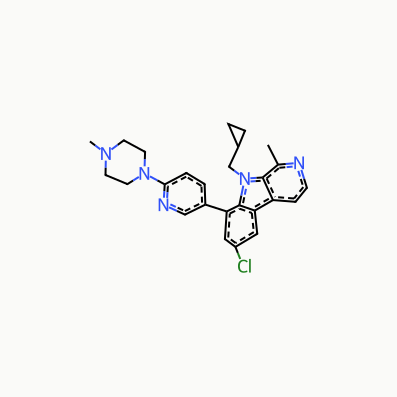 Cc1nccc2c3cc(Cl)cc(-c4ccc(N5CCN(C)CC5)nc4)c3n(CC3CC3)c12